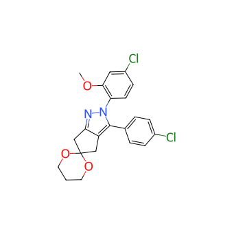 COc1cc(Cl)ccc1-n1nc2c(c1-c1ccc(Cl)cc1)CC1(C2)OCCCO1